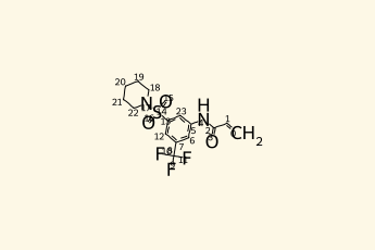 C=CC(=O)Nc1cc(C(F)(F)F)cc(S(=O)(=O)N2CCCCC2)c1